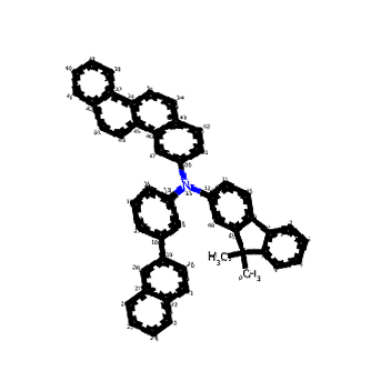 CC1(C)c2ccccc2-c2ccc(N(c3cccc(-c4ccc5ccccc5c4)c3)c3ccc4ccc5c6ccccc6ccc5c4c3)cc21